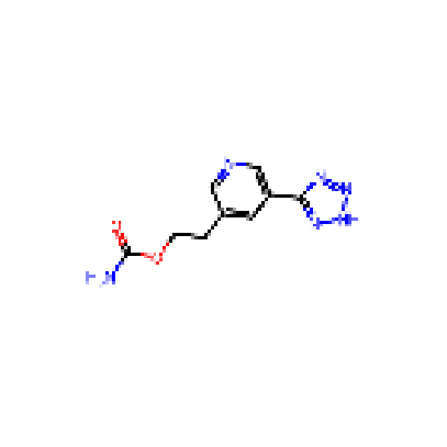 NC(=O)OCCc1cncc(-c2nn[nH]n2)c1